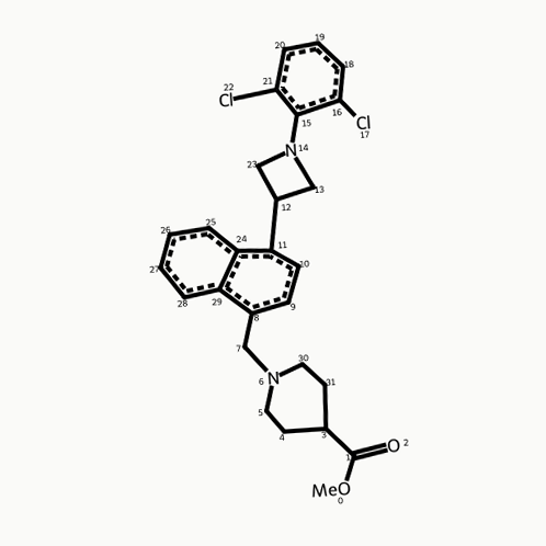 COC(=O)C1CCN(Cc2ccc(C3CN(c4c(Cl)cccc4Cl)C3)c3ccccc23)CC1